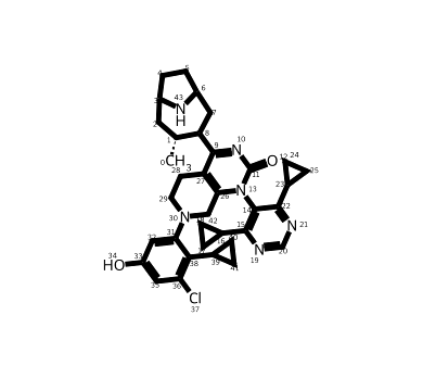 C[C@@H]1CC2CCC(CC1c1nc(=O)n(-c3c(C4CC4)ncnc3C3CC3)c3c1CCN(c1cc(O)cc(Cl)c1C1CC1)C3)N2